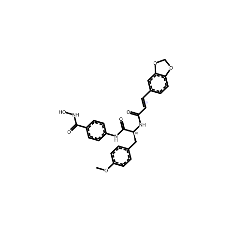 COc1ccc(C[C@H](NC(=O)/C=C/c2ccc3c(c2)OCO3)C(=O)Nc2ccc(C(=O)NO)cc2)cc1